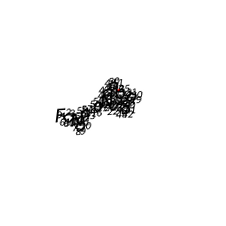 Fc1ccc(-n2c3ccccc3c3cc(-c4ccc(N(c5ccc6c(c5)C(c5ccccc5)(c5ccccc5)c5ccccc5-6)c5ccc6ccccc6c5)cc4)ccc32)cc1